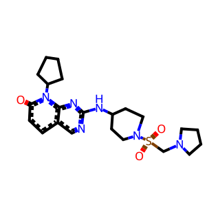 O=c1ccc2cnc(NC3CCN(S(=O)(=O)CN4CCCC4)CC3)nc2n1C1CCCC1